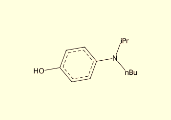 CCCCN(c1ccc(O)cc1)C(C)C